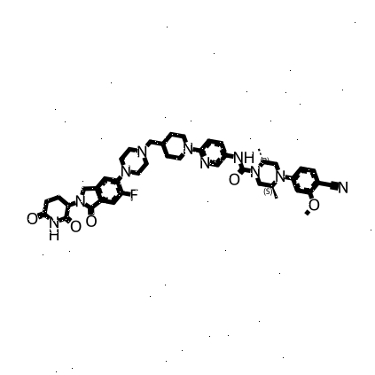 COc1cc(N2C[C@@H](C)N(C(=O)Nc3ccc(N4CCC(CN5CCN(c6cc7c(cc6F)C(=O)N(C6CCC(=O)NC6=O)C7)CC5)CC4)nc3)C[C@@H]2C)ccc1C#N